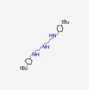 CC(C)(C)c1ccc(CNCCCCNCCCNCc2ccc(C(C)(C)C)cc2)cc1